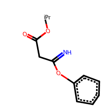 CC(C)OC(=O)CC(=N)Oc1ccccc1